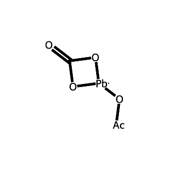 CC(=O)[O][Pb]1[O]C(=O)[O]1